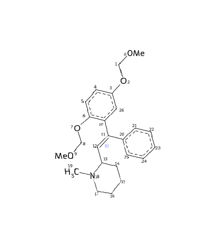 COCOc1ccc(OCOC)c(/C(=C/C2CCCCN2C)c2ccccc2)c1